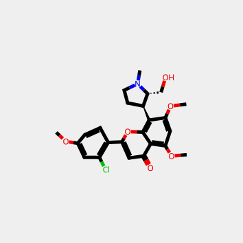 COc1ccc(-c2cc(=O)c3c(OC)cc(OC)c([C@H]4CCN(C)[C@@H]4CO)c3o2)c(Cl)c1